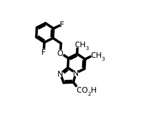 Cc1cn2c(C(=O)O)cnc2c(OCc2c(F)cccc2F)c1C